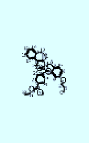 CCCOc1ccc(CN(c2ncc3ccccc3c2C)S(=O)(=O)c2ccc(C(=O)OCC)cc2)cc1